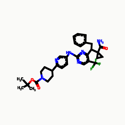 CC(C)(C)OC(=O)N1CCC(c2ccc(Nc3ncc(C(F)(F)F)c(C(Cc4ccccc4)C4(C(N)=O)CC4)n3)cn2)CC1